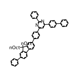 CCCCCCCCC1(CCCCCCCC)c2cc(-c3ccccc3)ccc2-c2ccc(-c3ccc(-c4cc(-c5ccc(-c6ccccc6)cc5)nc(-c5ccccc5)n4)cc3)cc21